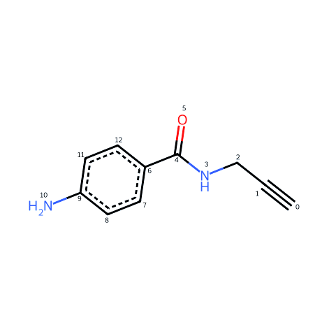 C#CCNC(=O)c1ccc(N)cc1